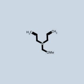 C=CCN(CC=C)COC